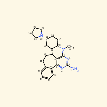 CN(c1nc(N)nc2c1CCCc1ccccc1-2)[C@H]1CC[C@@H](N2CCCC2)CC1